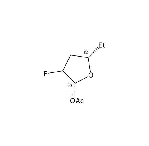 CC[C@H]1CC(F)[C@@H](OC(C)=O)O1